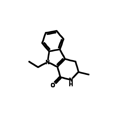 CCn1c2c(c3ccccc31)CC(C)NC2=O